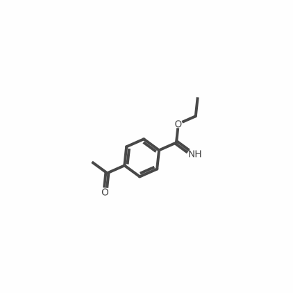 CCOC(=N)c1ccc(C(C)=O)cc1